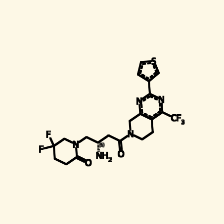 N[C@@H](CC(=O)N1CCc2c(nc(-c3ccsc3)nc2C(F)(F)F)C1)CN1CC(F)(F)CCC1=O